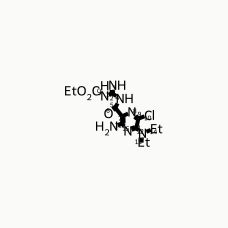 CCOC(=O)NC(=N)NC(=O)c1nc(Cl)c(N(CC)CC)nc1N